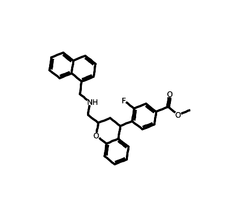 COC(=O)c1ccc(C2CC(CNCc3cccc4ccccc34)Oc3ccccc32)c(F)c1